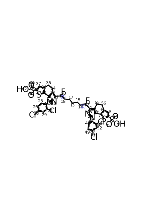 O=S(=O)(O)c1cc2c(s1)-c1c(c(/C(F)=C/CCC/C=C(\F)c3nn(-c4ccc(Cl)cc4Cl)c4c3CCc3cc(S(=O)(=O)O)sc3-4)nn1-c1ccc(Cl)cc1Cl)CC2